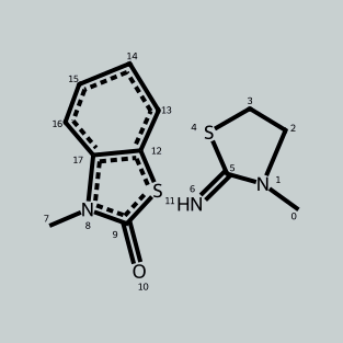 CN1CCSC1=N.Cn1c(=O)sc2ccccc21